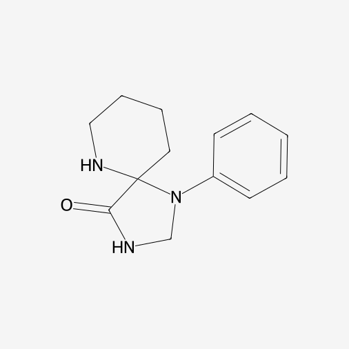 O=C1NCN(c2ccccc2)C12CCCCN2